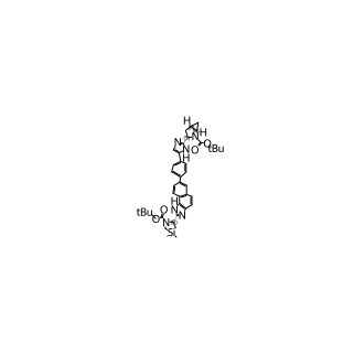 CC(C)(C)OC(=O)N1C[Si](C)(C)C[C@H]1c1nc2ccc3cc(-c4ccc(-c5cnc([C@@H]6C[C@H]7C[C@H]7N6C(=O)OC(C)(C)C)[nH]5)cc4)ccc3c2[nH]1